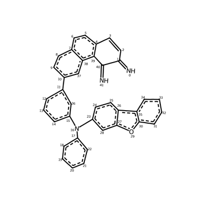 N=C1C=Cc2ccc3ccc(-c4cccc(N(c5ccccc5)c5ccc6c(c5)oc5ccccc56)c4)cc3c2C1=N